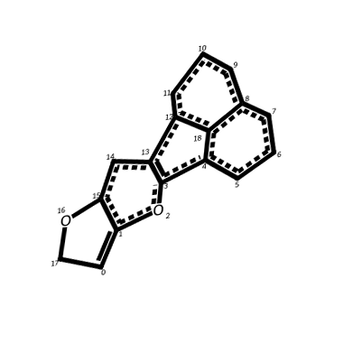 C1=c2oc3c4cccc5cccc(c=3cc2OC1)c54